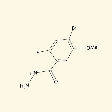 COc1cc(C(=O)NN)c(F)cc1Br